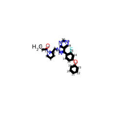 C=CC(=O)N1CCCC1Cn1nc(-c2ccc(Oc3ccccc3)cc2F)c2cncnc21